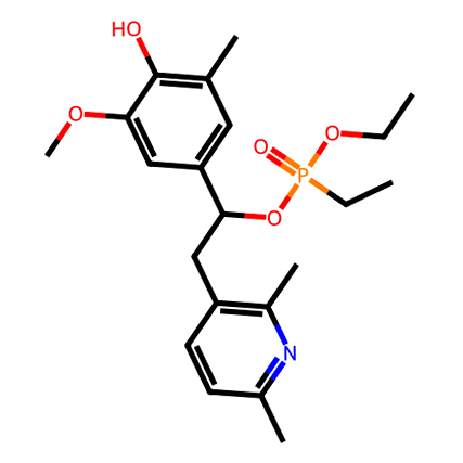 CCOP(=O)(CC)OC(Cc1ccc(C)nc1C)c1cc(C)c(O)c(OC)c1